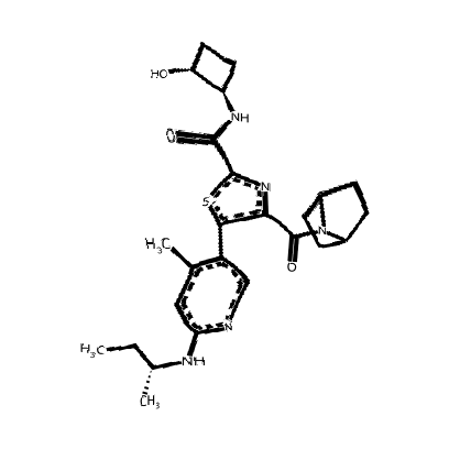 CC[C@@H](C)Nc1cc(C)c(-c2sc(C(=O)N[C@@H]3CC[C@@H]3O)nc2C(=O)N2C3CCC2CC3)cn1